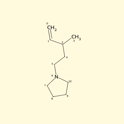 C=CC(C)CCN1CCCC1